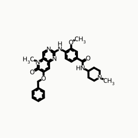 COc1cc(C(=O)NC2CCN(C)CC2)ccc1Nc1ncc2c(cc(OCc3ccccc3)c(=O)n2C)n1